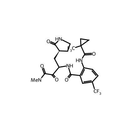 CNC(=O)C(=O)C(C[C@@H]1CCNC1=O)NC(=O)c1cc(C(F)(F)F)ccc1NC(=O)C1(C(F)(F)F)CC1